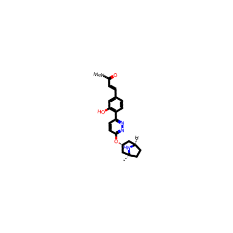 CNC(=O)/C=C/c1ccc(-c2ccc(O[C@@H]3C[C@H]4CC[C@@](C)(C3)N4)nn2)c(O)c1